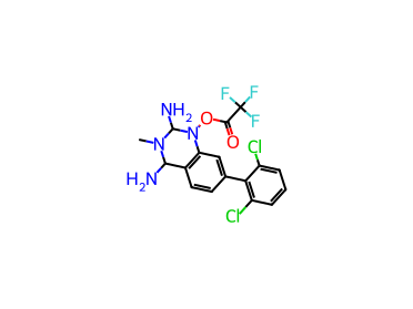 CN1C(N)c2ccc(-c3c(Cl)cccc3Cl)cc2N(OC(=O)C(F)(F)F)C1N